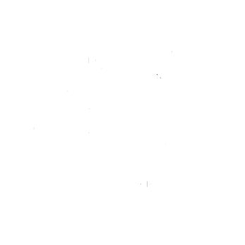 Cc1oc(-c2ccccn2)cc1C(Cl)C1CCCCC1.Cl